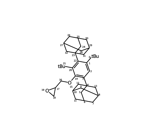 CC(C)(C)c1cc(C23CC4CC(CC(C4)C2)C3)c(OCC2CO2)c(C(C)(C)C)c1C12CC3CC(CC(C3)C1)C2